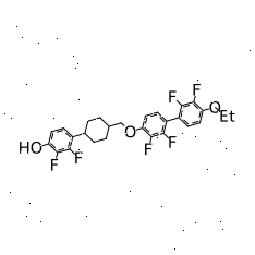 CCOc1ccc(-c2ccc(OCC3CCC(c4ccc(O)c(F)c4F)CC3)c(F)c2F)c(F)c1F